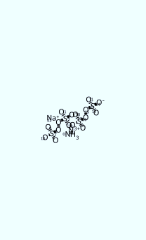 N.O=S(=O)([O-])OOS(=O)(=O)[O-].O=S(=O)([O-])OOS(=O)(=O)[O-].[N+3].[Na+]